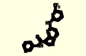 O=C(Nc1cccnc1)c1cnn2ccc(Nc3cccc(C(F)(F)F)n3)nc12